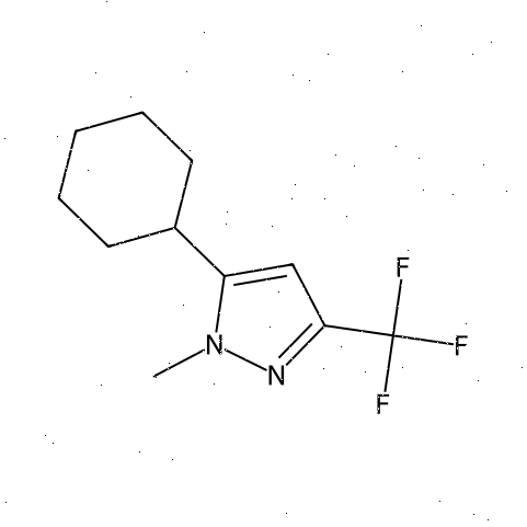 Cn1nc(C(F)(F)F)cc1C1CCCCC1